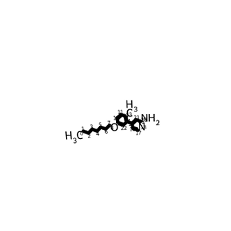 CCCCCCCCOc1ccc(C)c(-c2ccnc(N)c2)c1